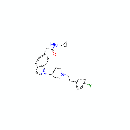 O=C(Cc1ccc2ccn(C3CCN(CCc4ccc(F)cc4)CC3)c2c1)NC1CC1